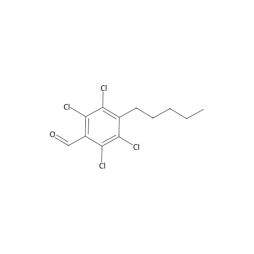 CCCCCc1c(Cl)c(Cl)c(C=O)c(Cl)c1Cl